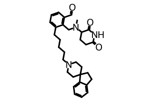 CN(Cc1c(C=O)cccc1CCCCCN1CCC2(CCc3ccccc32)CC1)C1CCC(=O)NC1=O